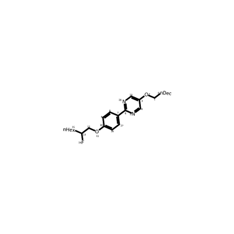 CCCCCCCCCCCOc1cnc(-c2ccc(OCC(F)CCCCCC)cc2)nc1